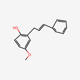 COc1ccc(O)c(CC=Cc2ccccc2)c1